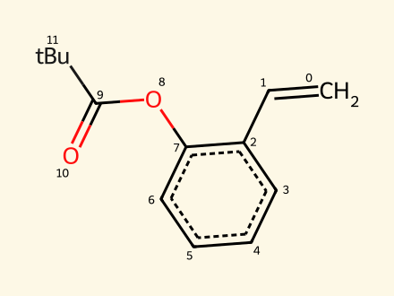 C=Cc1ccccc1OC(=O)C(C)(C)C